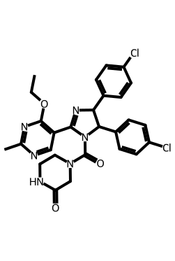 CCOc1nc(C)ncc1C1=NC(c2ccc(Cl)cc2)C(c2ccc(Cl)cc2)N1C(=O)N1CCNC(=O)C1